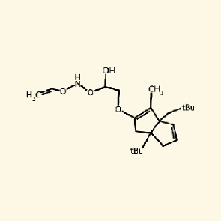 C=CONOC(O)COC1=C(C)C2(CC(C)(C)C)C=CCC2(C(C)(C)C)C1